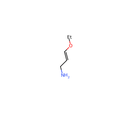 CCOC=CCN